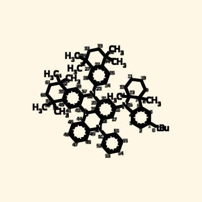 CC(C)(C)c1ccc2c(c1)C1(C)CCCCC1(C)N2c1cc2c3c(c1)N(c1ccc4c(c1)C(C)(C)CCC4(C)C)c1cc4c(cc1B3c1ccccc1N2c1ccccc1)C(C)(C)CCC4(C)C